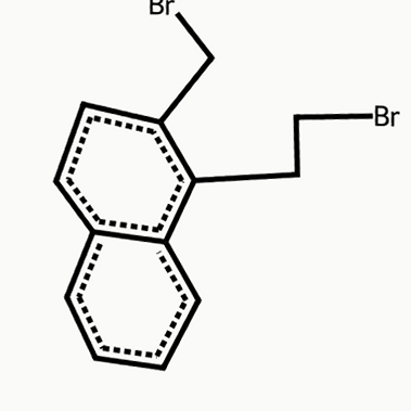 BrCCc1c(CBr)ccc2ccccc12